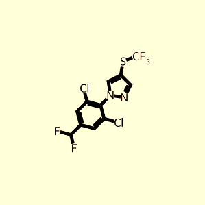 FC(F)c1cc(Cl)c(-n2cc(SC(F)(F)F)cn2)c(Cl)c1